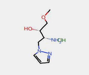 COC[C@@H](O)[C@H](N)Cn1cccn1.Cl